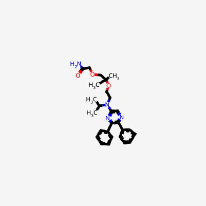 CC(C)N(CCOC(C)(C)COCC(N)=O)c1cnc(-c2ccccc2)c(-c2ccccc2)n1